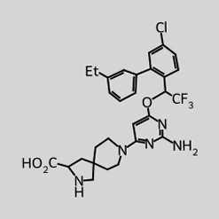 CCc1cccc(-c2cc(Cl)ccc2C(Oc2cc(N3CCC4(CC3)CNC(C(=O)O)C4)nc(N)n2)C(F)(F)F)c1